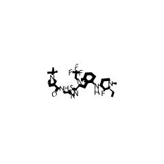 CC[C@H]1[C@H](F)[C@H](Nc2cccc3c2cc(-c2nnc(CNC(=O)c4ccn(C(C)(C)C)c4)s2)n3CC(F)(F)F)CCN1C